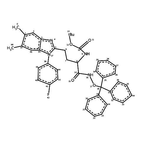 Cc1cc2nc(CCC(NC(=O)OC(C)(C)C)C(=O)NOC(c3ccccc3)(c3ccccc3)c3ccccc3)n(-c3ccc(F)cc3)c2cc1C